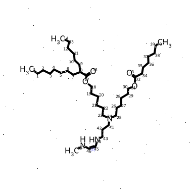 CCCCCCCCC(CCCCCC)C(=O)OCCCCCCN(CCCCCCOC(=O)CCCCCCC)CCCN/C=C\NC